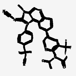 CC(=O)N(C(C)=O)c1ncc(-c2ccc3ncc4c(c3c2)n(-c2ccc(C(C)(C)C#N)cc2)c(=NC#N)n4C)cc1C(F)(F)F